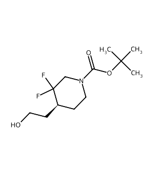 CC(C)(C)OC(=O)N1CC[C@@H](CCO)C(F)(F)C1